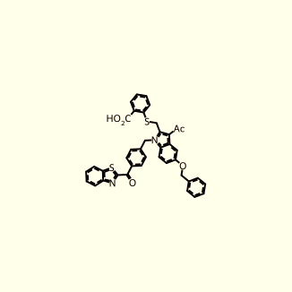 CC(=O)c1c(CSc2ccccc2C(=O)O)n(Cc2ccc(C(=O)c3nc4ccccc4s3)cc2)c2ccc(OCc3ccccc3)cc12